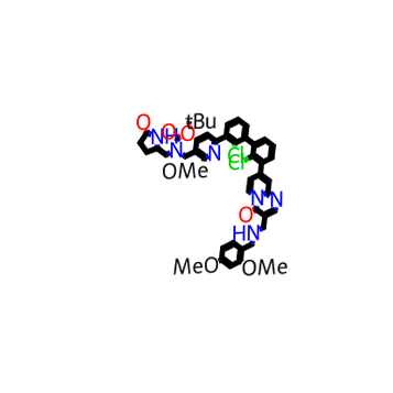 COc1ccc(CNCc2cnc3cc(-c4cccc(-c5cccc(-c6ccc(CN(CC7CCC(=O)N7)C(=O)OC(C)(C)C)c(OC)n6)c5Cl)c4Cl)ccn3c2=O)c(OC)c1